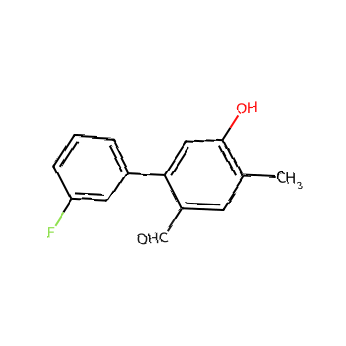 Cc1cc(C=O)c(-c2cccc(F)c2)cc1O